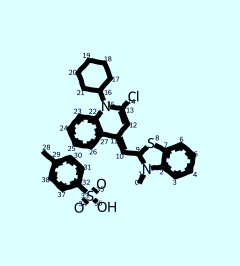 CN1c2ccccc2SC1C=C1C=C(Cl)N(C2CCCCC2)c2ccccc21.Cc1ccc(S(=O)(=O)O)cc1